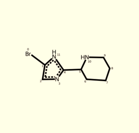 Brc1cnc(C2CCCCN2)[nH]1